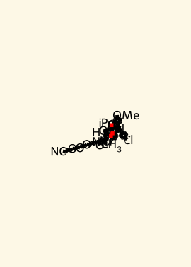 COc1ccc(C2=N[C@@H](c3ccc(Cl)cc3)[C@@H](c3ccc(Cl)cc3)N2C(=O)N2CCN(CC(=O)N(C)CC(=O)NCCCOCCOCCOCCCC#N)C(=O)C2)c(OC(C)C)c1